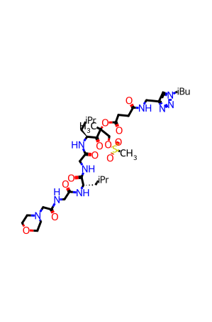 CCC(C)n1cc(CNC(=O)CCC(=O)OC(C)(COS(C)(=O)=O)C(=O)[C@H](CC(C)C)NC(=O)CNC(=O)[C@H](CC(C)C)NC(=O)CNC(=O)CN2CCOCC2)nn1